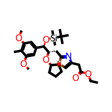 CCOC(=O)Cc1csc(C[C@H](OC2CCCC2)[C@H](O[Si](C)(C)C(C)(C)C)c2cc(OC)c(C)c(OC)c2)n1